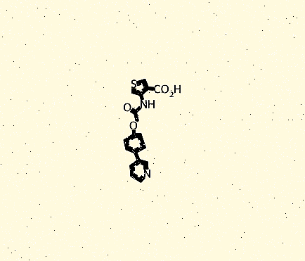 O=C(COc1ccc(-c2cccnc2)cc1)Nc1cscc1C(=O)O